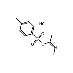 C/N=C(/C)OS(=O)(=O)c1ccc(C)cc1.Cl